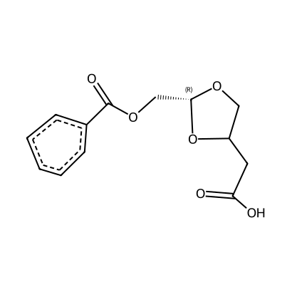 O=C(O)CC1CO[C@@H](COC(=O)c2ccccc2)O1